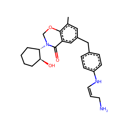 Cc1cc(Cc2ccc(N/C=C\CN)cc2)cc2c1OCN([C@H]1CCCC[C@@H]1O)C2=O